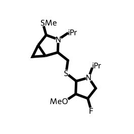 COC1C(F)CN(C(C)C)C1SCC1C2CC2C(SC)N1C(C)C